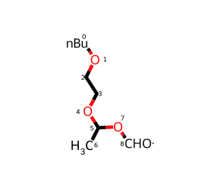 CCCCOCCOC(C)O[C]=O